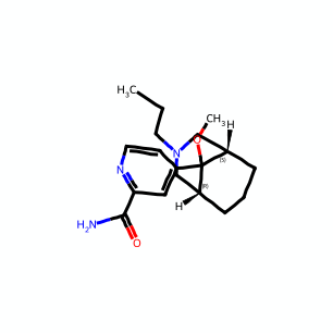 CCCN1C[C@H]2CCC[C@@H](C1)C2(OC)c1ccnc(C(N)=O)c1